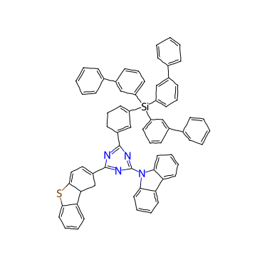 C1=C(c2nc(C3=CC=C4Sc5ccccc5C4C3)nc(-n3c4ccccc4c4ccccc43)n2)CCC=C1[Si](c1cccc(-c2ccccc2)c1)(c1cccc(-c2ccccc2)c1)c1cccc(-c2ccccc2)c1